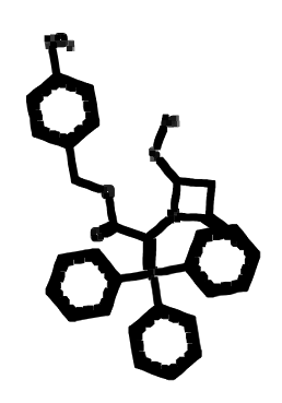 CC(=O)SC1CC(=O)N1C(C(=O)OCc1ccc([N+](=O)[O-])cc1)=P(c1ccccc1)(c1ccccc1)c1ccccc1